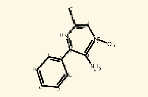 Cc1c[n+]([O-])c(N)c(-c2ccccc2)n1